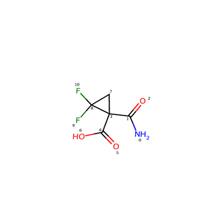 NC(=O)C1(C(=O)O)CC1(F)F